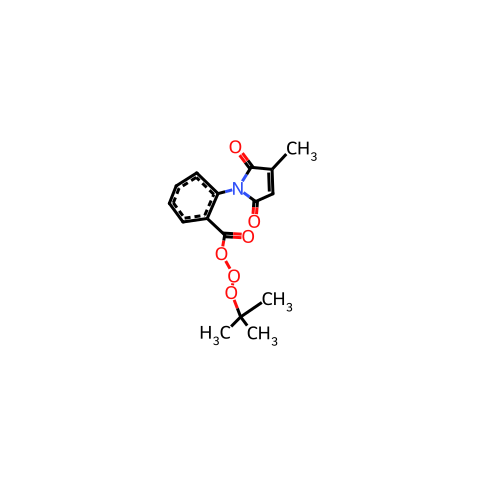 CC1=CC(=O)N(c2ccccc2C(=O)OOOC(C)(C)C)C1=O